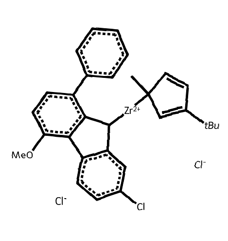 COc1ccc(-c2ccccc2)c2c1-c1ccc(Cl)cc1[CH]2[Zr+2][C]1(C)C=CC(C(C)(C)C)=C1.[Cl-].[Cl-]